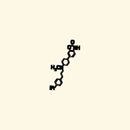 CC(C)c1ccc(CCCN(C)C2CCC(c3ccc4[nH]c(=O)oc4c3)CC2)cc1